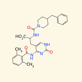 Cc1cccc(C)c1C(=O)Nc1nc(=O)[nH]cc1CC(NC(=O)N1CCC(Cc2ccccc2)CC1)C(=O)O